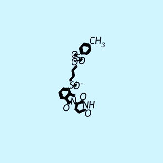 Cc1ccc(S(=O)(=O)OCCCC[S+]([O-])c2cccc3c2CN(C2CCC(=O)NC2=O)C3=O)cc1